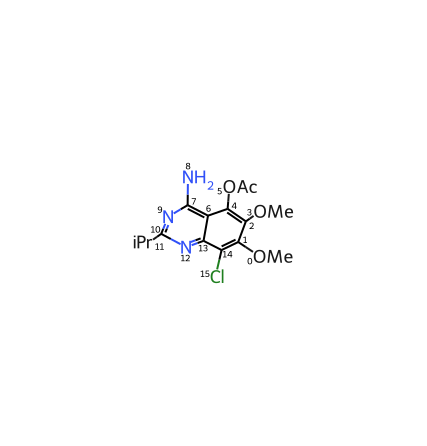 COc1c(OC)c(OC(C)=O)c2c(N)nc(C(C)C)nc2c1Cl